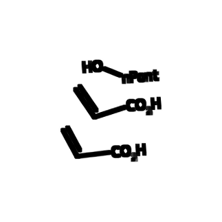 C=CC(=O)O.C=CC(=O)O.CCCCCO